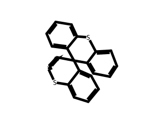 c1ccc2c(c1)Sc1ccccc1C21c2ccccc2Sc2ccccc21